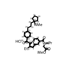 CCc1cc2cc(C(=O)N(CC(=O)OC)C(C)C)ccn2c1C(=O)c1ccc(CCCC2(NC)CCCC2)cc1.Cl